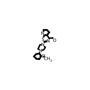 COc1ccccc1N1CCN(C2=NC(C=O)c3cccnc3S2)CC1